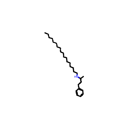 CCCCCCCCCCCCCCCCCCNC(C)CCc1ccccc1